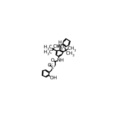 CC(C)(C)c1cc(NC(=O)C[S+]([O-])Cc2ccccc2O)cc(C(C)(C)C)c1Nc1ccccc1